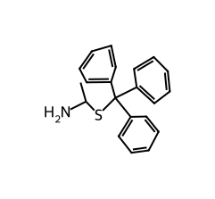 CC(N)SC(c1ccccc1)(c1ccccc1)c1ccccc1